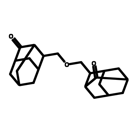 O=C1C2CC3CC(C2)C(COCC2C4CC5CC(C4)C(=O)C2C5)C1C3